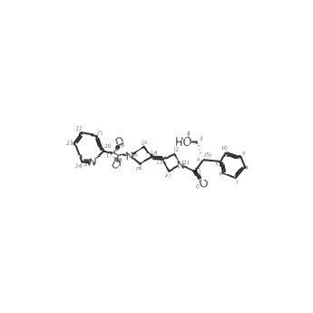 O=C([C@H](CO)c1ccccc1)N1CC(=C2CN(S(=O)(=O)c3ccccn3)C2)C1